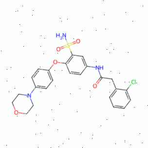 NS(=O)(=O)c1cc(NC(=O)Cc2ccccc2Cl)ccc1Oc1ccc(N2CCOCC2)cc1